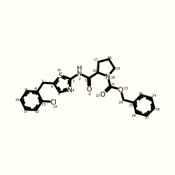 O=C(Nc1ncc(Cc2ccccc2Cl)s1)C1CCCN1C(=O)OCc1ccccc1